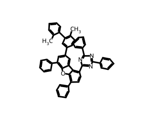 Cc1ccccc1-c1cc(-c2cc(-c3ccccc3)c3oc4c(-c5ccccc5)ccc(-c5nc(-c6ccccc6)nc(-c6ccccc6)n5)c4c3c2)ccc1C